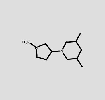 CC1CC(C)CN(C2CCN(N)C2)C1